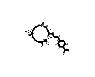 CC1CCCC(C)(O)CCCN(C)CCC(CCCc2ccc(C(C)C)cc2)NC1=O